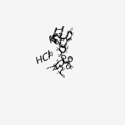 CCCc1nc(C)cc(OCc2ccc(-c3ccccc3-c3nnn[nH]3)cc2)c1C(=O)OC.Cl